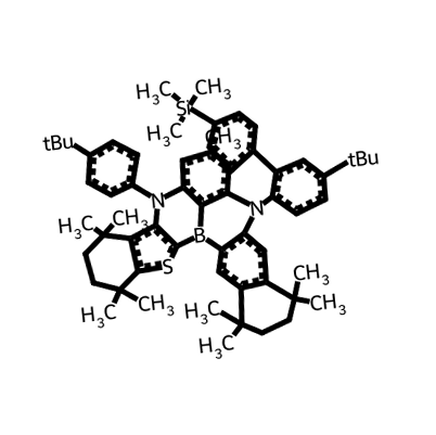 Cc1cc2c3c(c1)N(c1ccc(C(C)(C)C)cc1)c1c(sc4c1C(C)(C)CCC4(C)C)B3c1cc3c(cc1N2c1ccc(C(C)(C)C)cc1-c1ccc([Si](C)(C)C)cc1)C(C)(C)CCC3(C)C